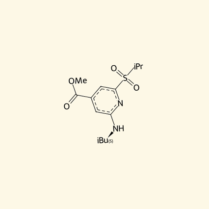 CC[C@H](C)Nc1cc(C(=O)OC)cc(S(=O)(=O)C(C)C)n1